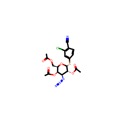 CC(=O)OC[C@H]1O[C@H](Sc2ccc(C#N)c(Cl)c2)[C@H](OC(C)=O)[C@@H](N=[N+]=[N-])[C@H]1OC(C)=O